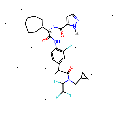 CCn1nccc1C(=O)N[C@H](C(=O)Nc1ccc(C(C)C(=O)N(CC2CC2)C(F)C(F)F)cc1F)C1CCCCCC1